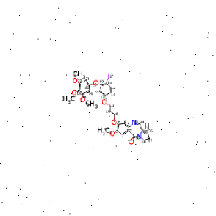 COc1cc2c(cc1OCCCOc1ccc(I)c(Oc3cc(OC)c(OC)c(OC)c3)c1)N=C[C@@H]1CCCN1C2=O